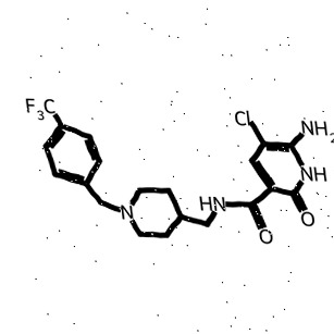 Nc1[nH]c(=O)c(C(=O)NCC2CCN(Cc3ccc(C(F)(F)F)cc3)CC2)cc1Cl